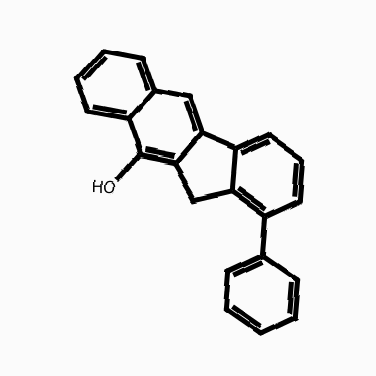 Oc1c2c(cc3ccccc13)-c1cccc(-c3ccccc3)c1C2